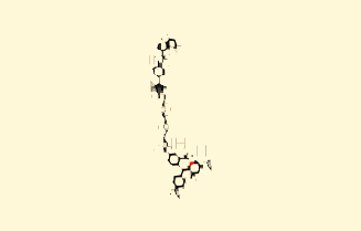 Cc1cc(C)n2ccc(C(=O)Nc3ccc(-c4cn(CCOCCOCCNC(=O)c5ccc(-c6c7ccc(=[N+](C)C)cc-7oc7cc(N(C)C)ccc67)c(C(=O)O)c5)nn4)cc3)c2n1